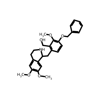 COc1cc2c(cc1OC)C(Cc1ccc(OCc3ccccc3)c(OC)c1CO)NCC2